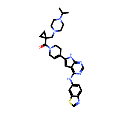 CC(C)N1CCN(CC2(C(=O)N3CC=C(c4cc5c(Nc6ccc7ncsc7c6)ncnc5[nH]4)CC3)CC2)CC1